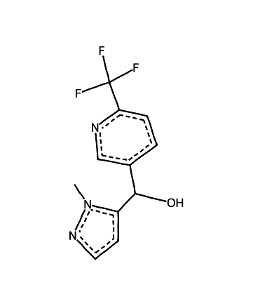 Cn1nccc1C(O)c1ccc(C(F)(F)F)nc1